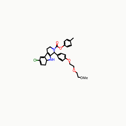 COCCOCCOc1ccc(C2C3=C(CCN2C(=O)Oc2ccc(C)cc2)C2=CC(Cl)=CCC2N3)cc1